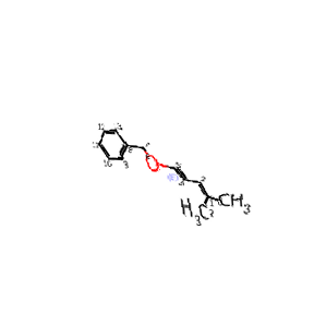 CC(C)=C/C=C/OCc1ccccc1